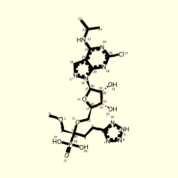 COC[C@](CCc1nn[nH]n1)(OC[C@H]1O[C@@H](n2ncc3c(NC(C)C)nc(Cl)nc32)[C@H](O)[C@@H]1O)P(=O)(O)O